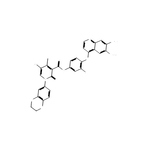 COc1cc2nccc(Oc3ccc(NC(=O)c4c(C)c(Br)cn(-c5ccc6c(c5)OCCO6)c4=O)cc3F)c2cc1OC